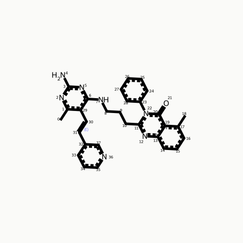 Cc1nc(N)nc(NCCCc2nc3cccc(C)c3c(=O)n2-c2ccccc2)c1/C=C/c1cccnc1